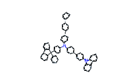 c1ccc(-c2ccc(-c3ccc(N(c4ccc(-c5ccc(-n6c7ccccc7c7ccccc76)cc5)cc4)c4ccc(C5(c6ccccc6)c6ccccc6-c6ccccc65)cc4)cc3)cc2)cc1